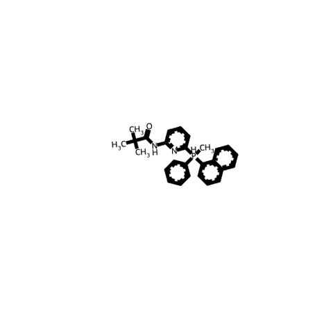 CC(C)(C)C(=O)Nc1cccc([PH](C)(c2ccccc2)c2cccc3ccccc23)n1